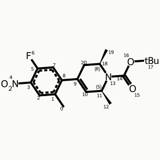 Cc1cc([N+](=O)[O-])c(F)cc1C1=C[C@H](C)N(C(=O)OC(C)(C)C)[C@H](C)C1